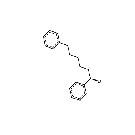 CC[C@H](C[CH]CCCc1ccccc1)c1ccccc1